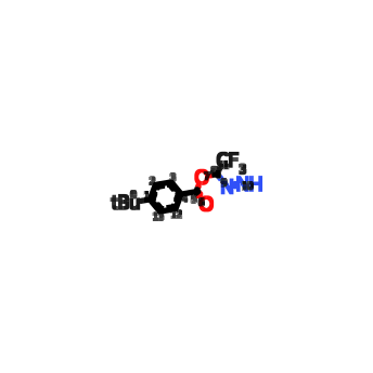 CC(C)(C)c1ccc(C(=O)OC(N=N)C(F)(F)F)cc1